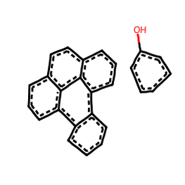 Oc1ccccc1.c1ccc2c(c1)c1cccc3ccc4cccc2c4c31